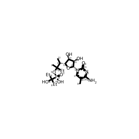 CCC(C)(OP(=O)(O)C(O)(CC)CC)C(C)[C@H]1O[C@@H](n2cc(C)c(N)nc2=O)[C@H](O)[C@@H]1O